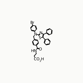 O=C(O)CCNC(=O)c1ccc(CN(c2ccc(Br)cc2)c2nc(-c3ccccc3)c(-c3ccccc3)s2)cc1